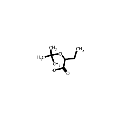 CCC(OC(C)(C)C)C([O])=O